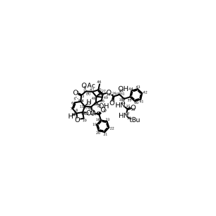 CC(=O)O[C@H]1C(=O)[C@]2(C)C=C[C@H]3OC[C@@]3(OC(C)=O)[C@H]2[C@H](OC(=O)c2ccccc2)[C@]2(O)CC(OC(=O)[C@H](O)[C@@H](NC(=O)NC(C)(C)C)c3ccccc3)=C(C)C1C2(C)C